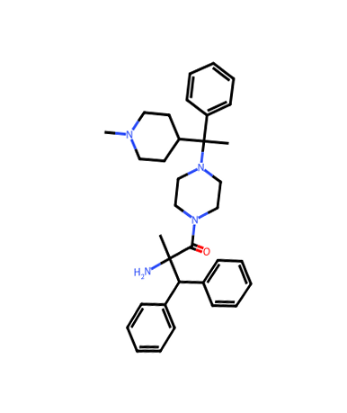 CN1CCC(C(C)(c2ccccc2)N2CCN(C(=O)C(C)(N)C(c3ccccc3)c3ccccc3)CC2)CC1